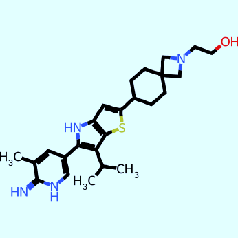 Cc1cc(-c2[nH]c3cc(C4CCC5(CC4)CN(CCO)C5)sc3c2C(C)C)c[nH]c1=N